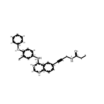 CCC(=O)NCC#Cc1ccc2ncnc(Nc3ccc(Oc4ccccc4)c(C)c3)c2c1